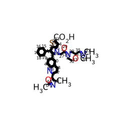 Cc1nc(C)c(-c2ccc3cc(-c4c(-c5ccccc5)c5sc(C(=O)O)cc5n4CC(=O)N4CCOC(CN(C)C)C4)ccc3n2)o1